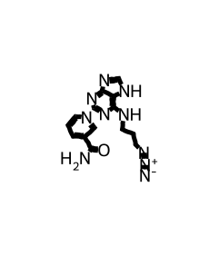 NC(=O)c1cccnc1.[N-]=[N+]=NCCCNc1ncnc2nc[nH]c12